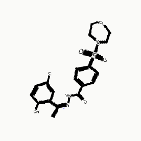 C/C(=N/NC(=O)c1ccc(S(=O)(=O)N2CCOCC2)cc1)c1cc(Cl)ccc1O